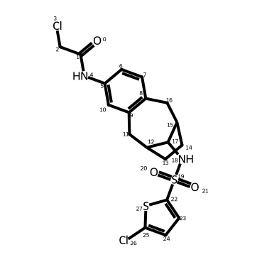 O=C(CCl)Nc1ccc2c(c1)CC1CCC(C2)C1NS(=O)(=O)c1ccc(Cl)s1